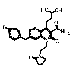 NC(=O)c1c(CCC(O)O)c2ncc(Cc3ccc(F)cc3)cc2n(CCN2CCCC2=O)c1=O